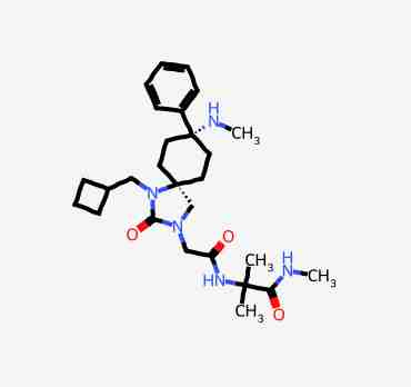 CNC(=O)C(C)(C)NC(=O)CN1C[C@]2(CC[C@](NC)(c3ccccc3)CC2)N(CC2CCC2)C1=O